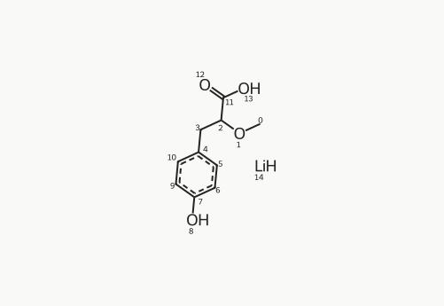 COC(Cc1ccc(O)cc1)C(=O)O.[LiH]